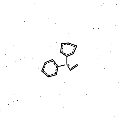 C=C[As](c1ccccc1)c1ccccc1